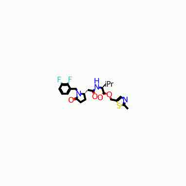 Cc1ncc(COC(=O)[C@@H](NC(=O)C[C@@H]2CCC(=O)N2Cc2cccc(F)c2F)C(C)C)s1